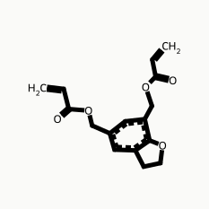 C=CC(=O)OCc1cc2c(c(COC(=O)C=C)c1)OCC2